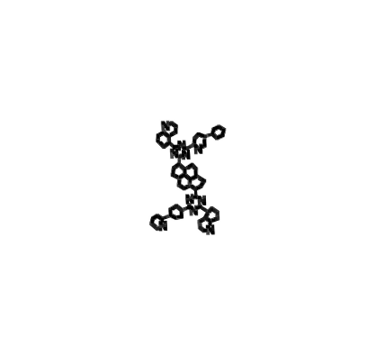 c1ccc(-c2ccc(-c3nc(-c4cccc5ncccc45)nc(-c4ccc5ccc6c(-c7nc(-c8ccc(-c9ccccn9)cc8)nc(-c8cccc9ncccc89)n7)ccc7ccc4c5c76)n3)nc2)cc1